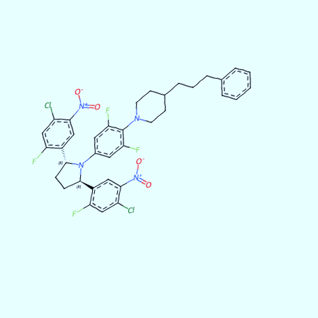 O=[N+]([O-])c1cc([C@H]2CC[C@H](c3cc([N+](=O)[O-])c(Cl)cc3F)N2c2cc(F)c(N3CCC(CCCc4ccccc4)CC3)c(F)c2)c(F)cc1Cl